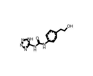 O=C(Nc1ccc(CCO)cc1)Nc1nnn[nH]1